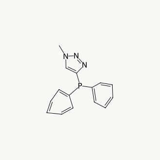 Cn1cc(P(c2ccccc2)c2ccccc2)nn1